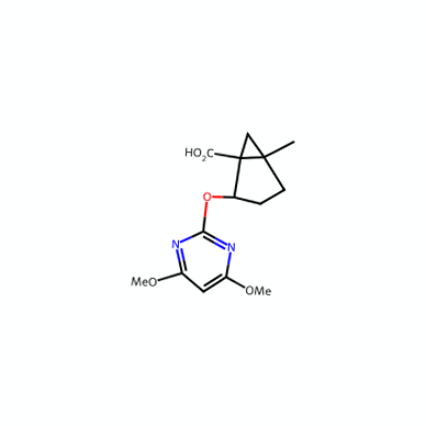 COc1cc(OC)nc(OC2CCC3(C)CC23C(=O)O)n1